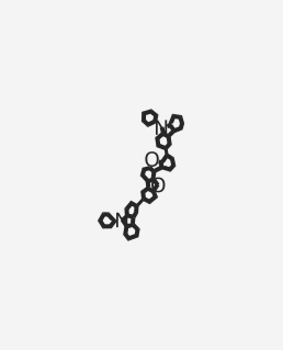 c1ccc(-n2c3ccccc3c3cc(-c4ccc5oc6c(ccc7oc8c(-c9ccc%10c(c9)c9ccccc9n%10-c9ccccc9)cccc8c76)c5c4)ccc32)cc1